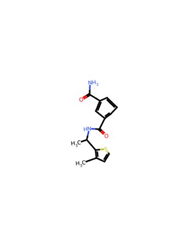 Cc1ccsc1C(C)NC(=O)c1cccc(C(N)=O)c1